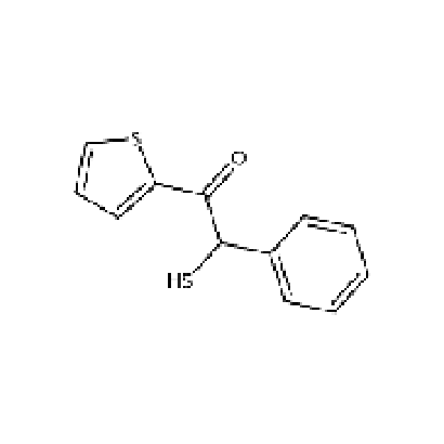 O=C(c1cccs1)C(S)c1ccccc1